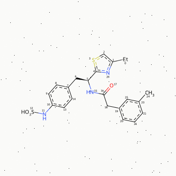 CCc1csc([C@H](Cc2ccc(NS(=O)(=O)O)cc2)NC(=O)Cc2cccc(C)c2)n1